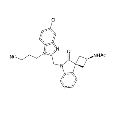 CC(=O)N[C@H]1C[C@]2(C1)C(=O)N(Cc1nc3cc(Cl)ccc3n1CCCC#N)c1ccccc12